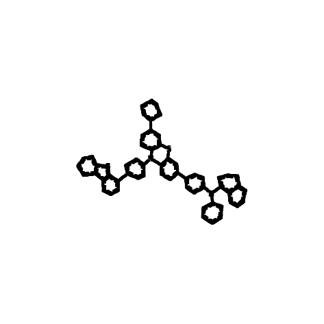 c1ccc(-c2ccc3c(c2)Sc2cc(-c4ccc(N(c5ccccc5)c5cccc6ccccc56)cc4)ccc2N3c2ccc(-c3cccc4c3sc3ccccc34)cc2)cc1